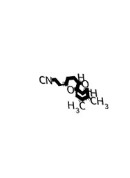 [C-]#[N+]CC[C@H]1CC[C@@H]2O[C@@H]3C[C@]2(C[C@@H](C)[C@H]3C)O1